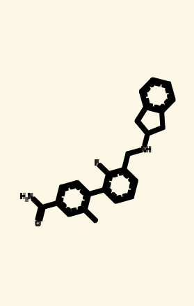 Cc1cc(C(N)=O)ccc1-c1cccc(CNC2Cc3ccccc3C2)c1F